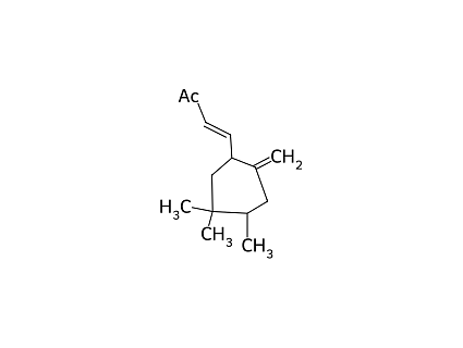 C=C1CC(C)C(C)(C)CC1C=CC(C)=O